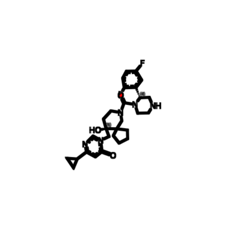 O=C(N1CC[C@@](O)(Cn2cnc(C3CC3)cc2=O)C2(CCCC2)C1)N1CCNC[C@H]1c1cc(F)ccc1F